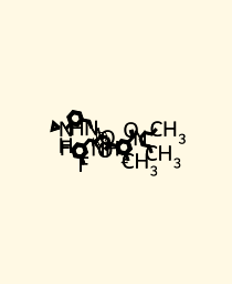 CCCN(CCC)C(=O)c1cc(C)cc(C(=O)O[C@H](CNCc2cccc(NC3CC3)c2)[C@@H](N)Cc2cc(F)cc(F)c2)c1